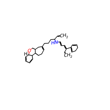 C=C/C(=C\C=C\NC(C=C)CCCC1=CCCC2C(CO[C@@H]3C=CC=CC23)C1)C1=CCCC=C1